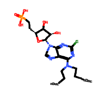 CCCCCCCCCCCCN(CCCCCCCCCCCC)c1nc(Cl)nc2c1ncn2[C@@H]1O[C@H](CCP(=O)(O)O)C(O)[C@@H]1O